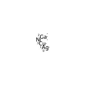 [Ag].[Cu].[Ga].[Ni]